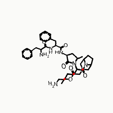 CCOC(=O)CN1CC2CCC(C1)N2C(=O)C(CCCCN)N1C(=O)C(NC(=O)C(Cc2ccccc2)NC(=O)C(N)Cc2ccccc2)CC1C